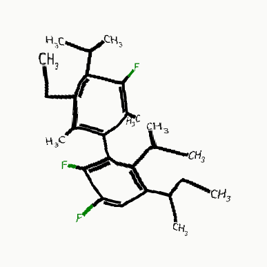 CCc1c(C)c(-c2c(F)c(F)cc(C(C)CC)c2C(C)C)c(C)c(F)c1C(C)C